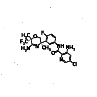 C[C@@]1(c2cc(NC(=O)c3ncc(Cl)cc3N)ccc2F)CO[C@@](C)(C(F)(F)F)C(N)=N1